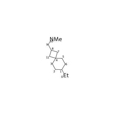 CCC1CCC2(CC1)CC(CNC)C2